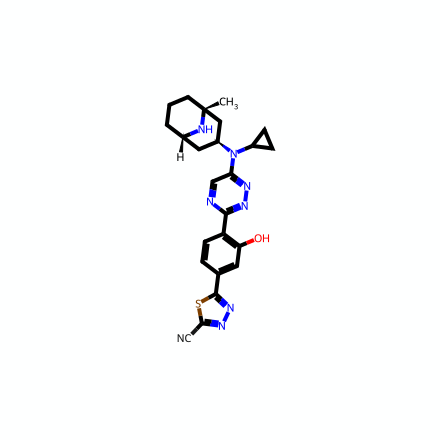 C[C@@]12CCC[C@@H](C[C@H](N(c3cnc(-c4ccc(-c5nnc(C#N)s5)cc4O)nn3)C3CC3)C1)N2